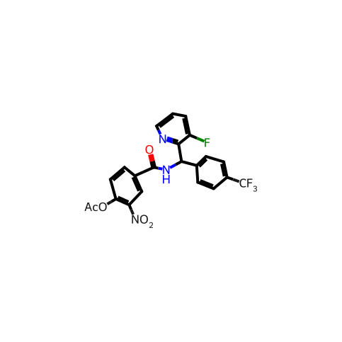 CC(=O)Oc1ccc(C(=O)NC(c2ccc(C(F)(F)F)cc2)c2ncccc2F)cc1[N+](=O)[O-]